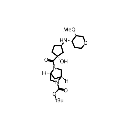 CO[C@@H]1COCC[C@@H]1N[C@@H]1CC[C@](O)(C(=O)N2C[C@@H]3C[C@H]2CN3C(=O)OC(C)(C)C)C1